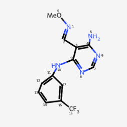 CO/N=C/c1c(N)ncnc1Nc1cccc(C(F)(F)F)c1